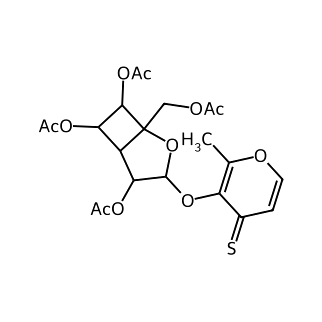 CC(=O)OCC12OC(Oc3c(C)occc3=S)C(OC(C)=O)C1C(OC(C)=O)C2OC(C)=O